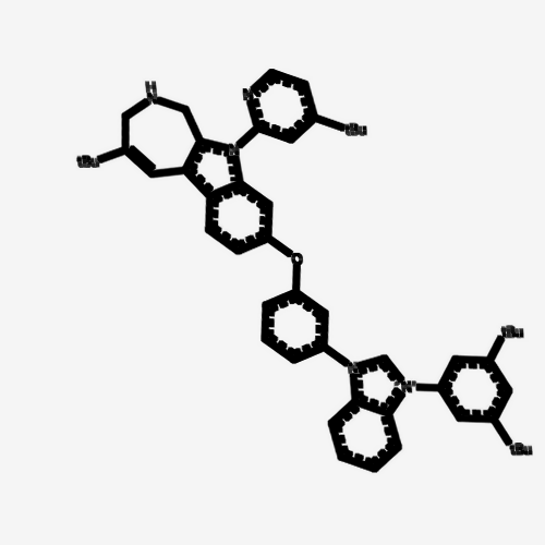 CC(C)(C)C1=Cc2c(n(-c3cc(C(C)(C)C)ccn3)c3cc(Oc4cccc(-n5c[n+](-c6cc(C(C)(C)C)cc(C(C)(C)C)c6)c6ccccc65)c4)ccc23)CNC1